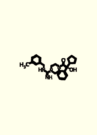 Cc1cccc(CNC(=N)N2CCN(C(=O)[C@](O)(c3ccccc3)C3CCCC3)CC2)c1